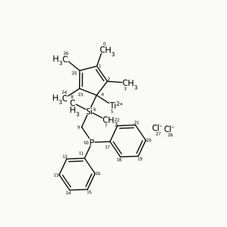 CC1=C(C)[C]([Ti+2])([Si](C)(C)CP(c2ccccc2)c2ccccc2)C(C)=C1C.[Cl-].[Cl-]